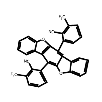 N#Cc1c(-c2c3oc4ccccc4c3c(-c3cccc(C(F)(F)F)c3C#N)c3oc4ccccc4c23)cccc1C(F)(F)F